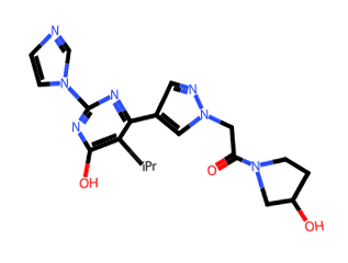 CC(C)c1c(O)nc(-n2ccnc2)nc1-c1cnn(CC(=O)N2CCC(O)C2)c1